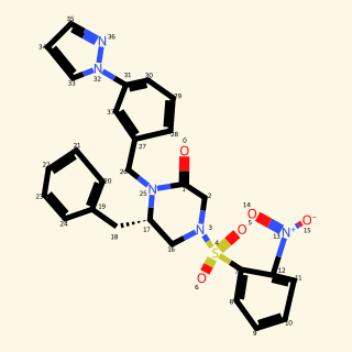 O=C1CN(S(=O)(=O)c2ccccc2[N+](=O)[O-])C[C@H](Cc2ccccc2)N1Cc1cccc(-n2cccn2)c1